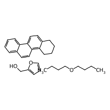 CCCCOCCCC.OCc1ccco1.c1ccc2c(c1)ccc1c3c(ccc12)CCCC3